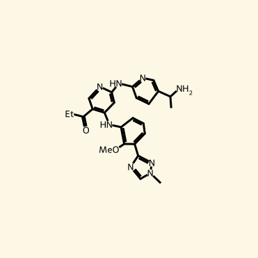 CCC(=O)c1cnc(Nc2ccc(C(C)N)cn2)cc1Nc1cccc(-c2ncn(C)n2)c1OC